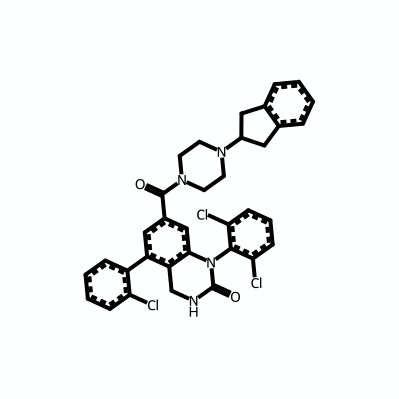 O=C(c1cc(-c2ccccc2Cl)c2c(c1)N(c1c(Cl)cccc1Cl)C(=O)NC2)N1CCN(C2Cc3ccccc3C2)CC1